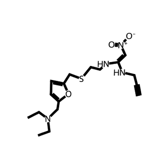 C#CCN/C(=C/[N+](=O)[O-])NCCSCc1ccc(CN(CC)CC)o1